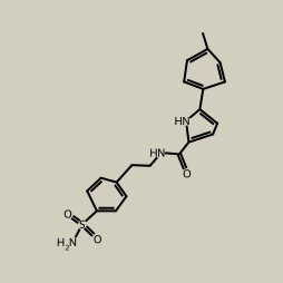 Cc1ccc(-c2ccc(C(=O)NCCc3ccc(S(N)(=O)=O)cc3)[nH]2)cc1